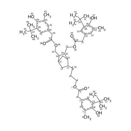 Cc1cc(CC(=O)OCCSC2CC3CC2C(COC(=O)Cc2cc(C)c(O)c(C(C)(C)C)c2)C3COC(=O)Cc2cc(C)c(O)c(C(C)(C)C)c2)cc(C(C)(C)C)c1O